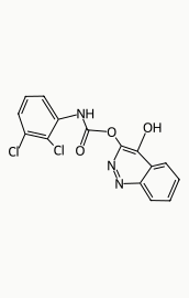 O=C(Nc1cccc(Cl)c1Cl)Oc1nnc2ccccc2c1O